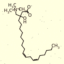 CCCCC/C=C\C/C=C\CCCCCCCCC(O)(CC(=O)[O-])C[N+](C)(C)C